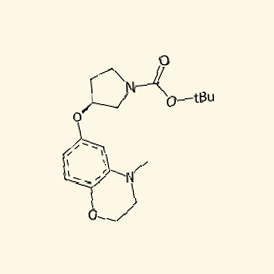 CN1CCOc2ccc(O[C@H]3CCN(C(=O)OC(C)(C)C)C3)cc21